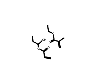 C=C(C)C(=O)OCC.C=CC(=O)OC(O)CC